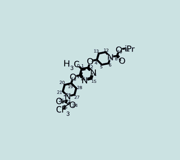 Cc1c(OC2CCN(C(=O)OC(C)C)CC2)ncnc1OC1CCN(S(=O)(=O)C(F)(F)F)CC1